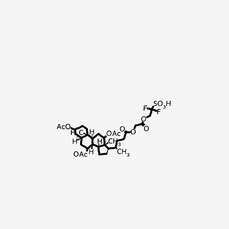 CC(=O)OC1CC[C@@]2(C)[C@@H](C1)CC(OC(C)=O)[C@@H]1[C@@H]2CC(OC(C)=O)[C@]2(C)[C@@H]([C@H](C)CCC(=O)OCC(=O)OCC(F)(F)S(=O)(=O)O)CC[C@@H]12